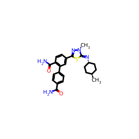 Cn1nc(-c2ccc(C(N)=O)c(-c3ccc(C(N)=O)cc3)c2)sc1=N[C@H]1CC[C@H](C)CC1